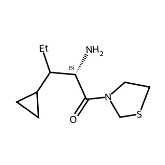 CCC(C1CC1)[C@H](N)C(=O)N1CCSC1